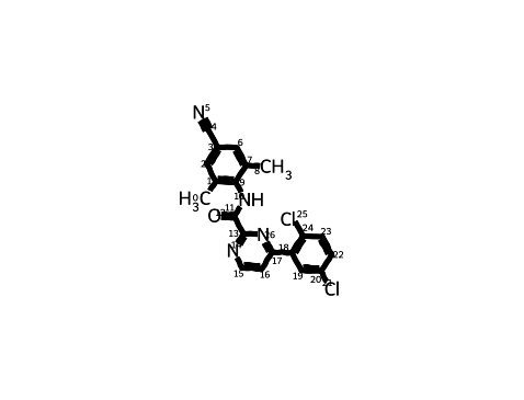 Cc1cc(C#N)cc(C)c1NC(=O)c1nccc(-c2cc(Cl)ccc2Cl)n1